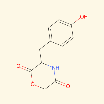 O=C1COC(=O)C(Cc2ccc(O)cc2)N1